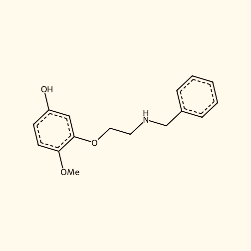 COc1ccc(O)cc1OCCNCc1ccccc1